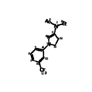 CCN(C(C)=O)C1=NN(c2cccc(C(F)(F)F)c2)CC1